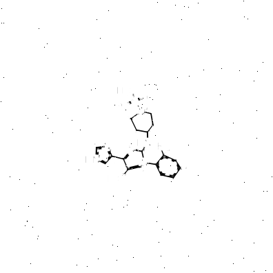 CS(=O)(=O)N1CCC(NC2N=C(c3c[nH]cn3)C(C(F)(F)F)=CN2c2ccccc2F)CC1